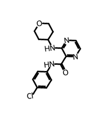 O=C(Nc1ccc(Cl)cc1)c1nccnc1NC1CCOCC1